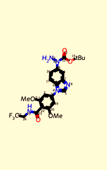 COc1cc(-n2cnc3cc(N(N)C(=O)OC(C)(C)C)ccc32)cc(OC)c1C(=O)NCC(F)(F)F